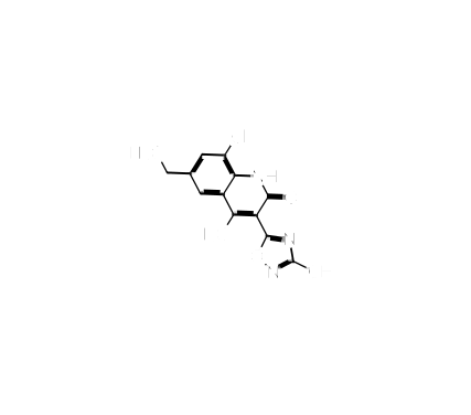 CCc1cc(Cl)c2[nH]c(=O)c(-c3nc(C)no3)c(C)c2c1